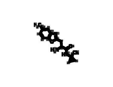 N#CC1(NC(=O)C(N)Cc2nc3cc(C(F)(F)F)ccc3o2)CC1